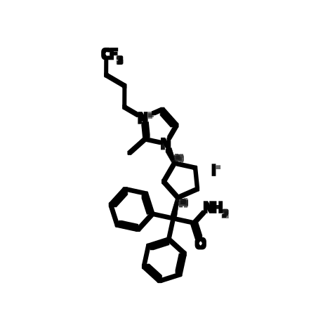 Cc1n([C@H]2CC[C@@H](C(C(N)=O)(c3ccccc3)c3ccccc3)C2)cc[n+]1CCCC(F)(F)F.[I-]